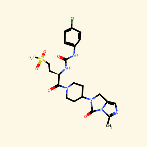 Cc1ncc2n1C(=O)N(C1CCN(C(=O)[C@@H](CCS(C)(=O)=O)NC(=O)Nc3ccc(Cl)cc3)CC1)C2